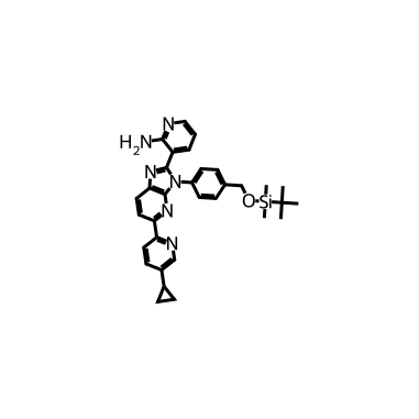 CC(C)(C)[Si](C)(C)OCc1ccc(-n2c(-c3cccnc3N)nc3ccc(-c4ccc(C5CC5)cn4)nc32)cc1